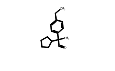 CCc1ccc(C(C)(C=O)C2CCCC2)cc1